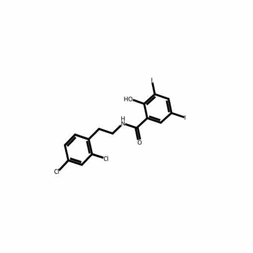 O=C(NCCc1ccc(Cl)cc1Cl)c1cc(I)cc(I)c1O